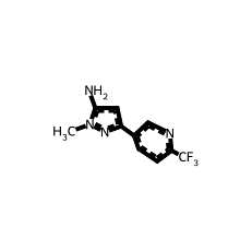 Cn1nc(-c2ccc(C(F)(F)F)nc2)cc1N